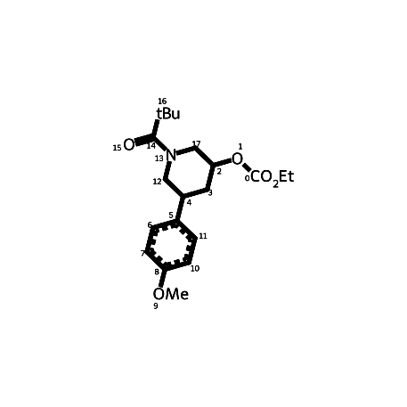 CCOC(=O)OC1CC(c2ccc(OC)cc2)CN(C(=O)C(C)(C)C)C1